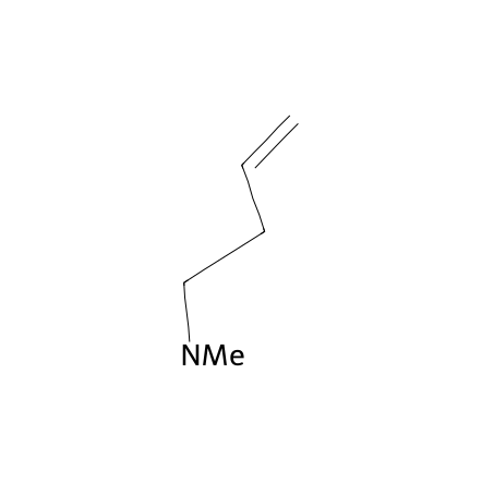 [CH2]NCCC=C